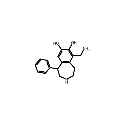 NCc1c(O)c(O)cc2c1CCNCC2c1ccccc1